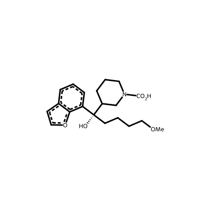 COCCCC[C@@](O)(c1cccc2ccoc12)C1CCCN(C(=O)O)C1